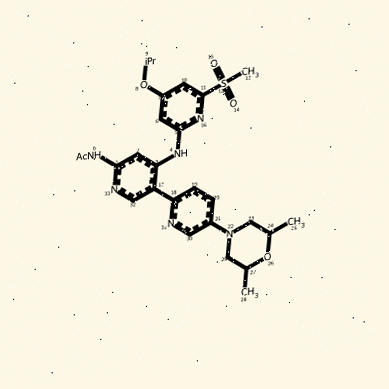 CC(=O)Nc1cc(Nc2cc(OC(C)C)cc(S(C)(=O)=O)n2)c(-c2ccc(N3CC(C)OC(C)C3)cn2)cn1